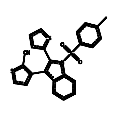 Cc1ccc(S(=O)(=O)n2c(-c3cccs3)c(-c3ccsc3C#N)c3ccccc32)cc1